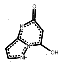 O=c1cc(O)n2[nH]ccc2n1